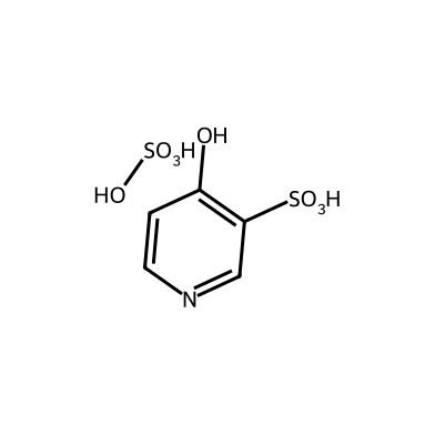 O=S(=O)(O)O.O=S(=O)(O)c1cnccc1O